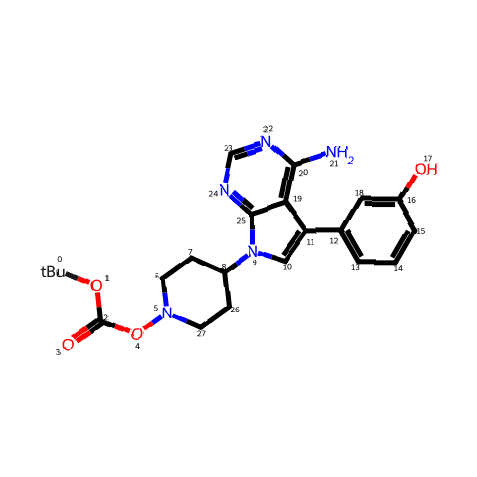 CC(C)(C)OC(=O)ON1CCC(n2cc(-c3cccc(O)c3)c3c(N)ncnc32)CC1